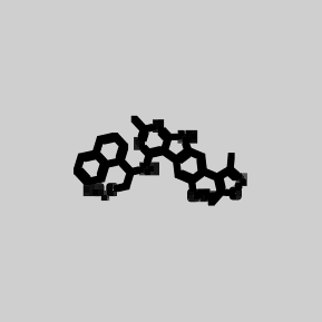 COc1cc2c(cc1-c1c(C)noc1C)[nH]c1nc(C)nc(NC(CC(=O)O)c3cccc4ccccc34)c12